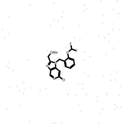 COCc1nc2cnc(Cl)cc2n1Cc1ccccc1OC(F)F